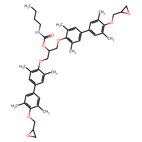 CCCCNC(=O)OC(COc1c(C)cc(-c2cc(C)c(OCC3CO3)c(C)c2)cc1C)COc1c(C)cc(-c2cc(C)c(OCC3CO3)c(C)c2)cc1C